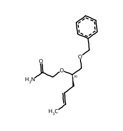 CC=CC[C@H](COCc1ccccc1)OCC(N)=O